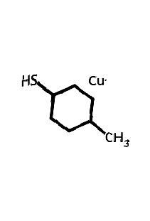 CC1CCC(S)CC1.[Cu]